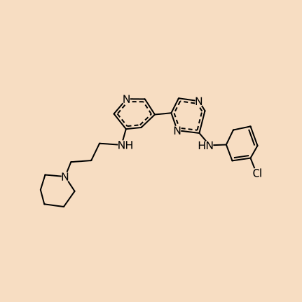 ClC1=CC(Nc2cncc(-c3cncc(NCCCN4CCCCC4)c3)n2)CC=C1